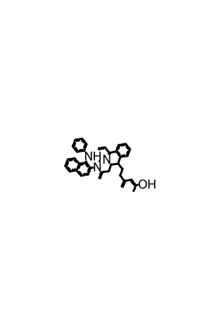 C=CC1=NC(CC(=C)N(C)c2ccc3ccccc3c2Nc2ccccc2)C(CCC(=C)/C=C(\C)O)c2ccccc21